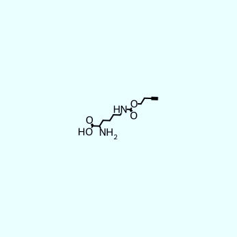 C#CCCOC(=O)NCCCCC(N)C(=O)O